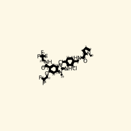 Cn1cccc1C(=O)NCc1ccc(Cl)c(Nc2nc3cc(C(=O)NCC(F)(F)F)c(OCC(F)F)cc3n2C)c1Cl